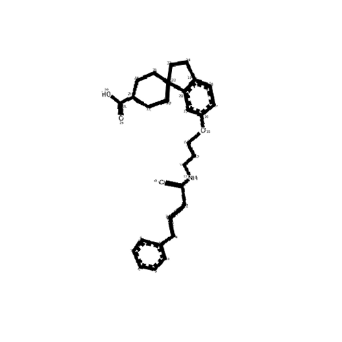 O=C(CCCc1ccccc1)NCCCOc1ccc2c(c1)C1(CC2)CCC(C(=O)O)CC1